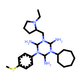 CCN1CCCC1CN1C(N)N(c2ccc(SC)cc2)C(N)N(C2CCCCCC2)C1N